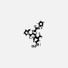 CC1CCCN1C(O)c1nc(C(=O)NC2CCCC2)sc1-c1cnc(NC(C)(C)C)cc1C(F)F